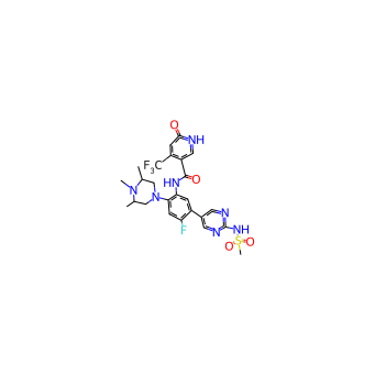 CC1CN(c2cc(F)c(-c3cnc(NS(C)(=O)=O)nc3)cc2NC(=O)c2c[nH]c(=O)cc2C(F)(F)F)CC(C)N1C